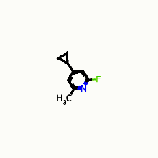 Cc1cc(C2CC2)cc(F)n1